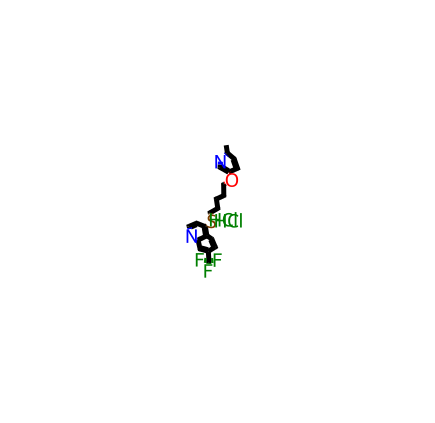 Cc1ccc(OCCCCCSc2ccnc3cc(C(F)(F)F)ccc23)cn1.Cl.Cl